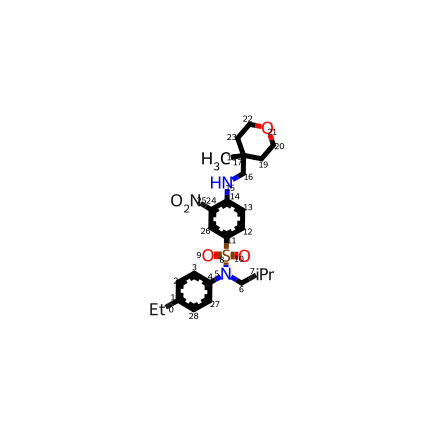 CCc1ccc(N(CC(C)C)S(=O)(=O)c2ccc(NCC3(C)CCOCC3)c([N+](=O)[O-])c2)cc1